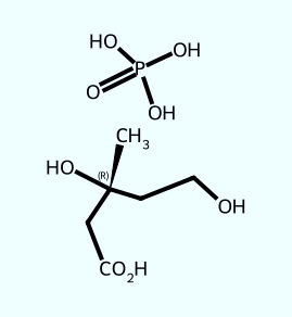 C[C@@](O)(CCO)CC(=O)O.O=P(O)(O)O